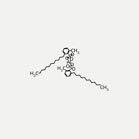 CCCCCCCCCCCCc1cccc(C)c1S(=O)(=O)[O][Al][O]S(=O)(=O)c1c(C)cccc1CCCCCCCCCCCC